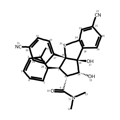 CC1C=CC=CC1[C@@H]1[C@@H](C(=O)N(C)C)[C@@H](O)[C@@]2(O)c3ccc(C#N)cc3S[C@@]12c1ccc(C#N)cc1